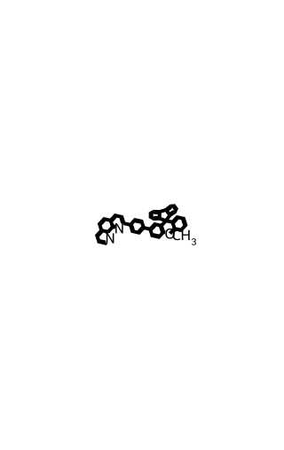 CC12CC=CC=C1C1(c3cc(-c4ccc(-c5ccc6ccc7cccnc7c6n5)cc4)ccc3O2)c2ccccc2-c2ccccc21